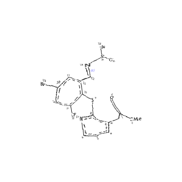 COC(=O)c1cccnc1Sc1c(/C=N/[S+]([O-])C(C)(C)C)cc(Br)cc1C(F)(F)F